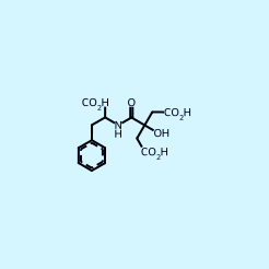 O=C(O)CC(O)(CC(=O)O)C(=O)NC(Cc1ccccc1)C(=O)O